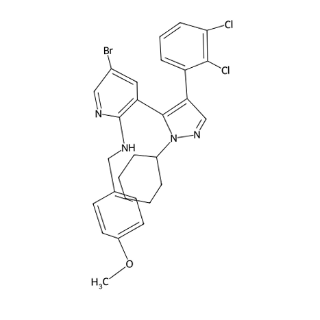 COc1ccc(CNc2ncc(Br)cc2-c2c(-c3cccc(Cl)c3Cl)cnn2C2CCCCC2)cc1